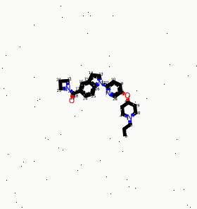 CCCN1CCC(Oc2ccc(-n3ccc4cc(C(=O)N5CCC5)ccc43)nc2)CC1